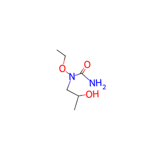 CCON(CC(C)O)C(N)=O